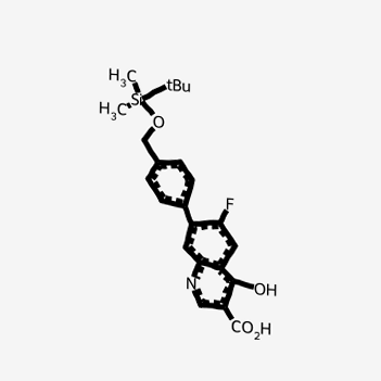 CC(C)(C)[Si](C)(C)OCc1ccc(-c2cc3ncc(C(=O)O)c(O)c3cc2F)cc1